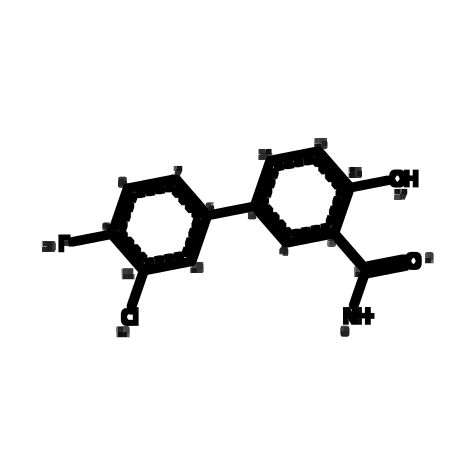 [NH]C(=O)c1cc(-c2ccc(F)c(Cl)c2)ccc1O